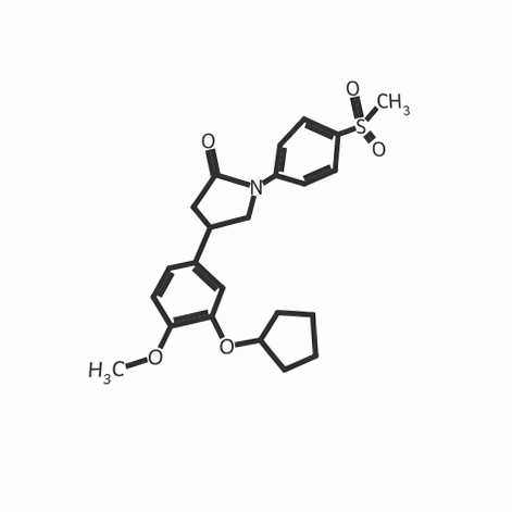 COc1ccc(C2CC(=O)N(c3ccc(S(C)(=O)=O)cc3)C2)cc1OC1CCCC1